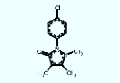 Cc1c(C)n(C)n(-c2ccc(Cl)cc2)c1=O